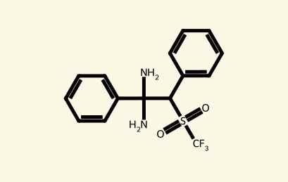 NC(N)(c1ccccc1)C(c1ccccc1)S(=O)(=O)C(F)(F)F